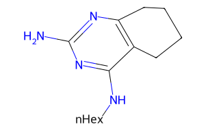 CCCCCCNc1nc(N)nc2c1CCCC2